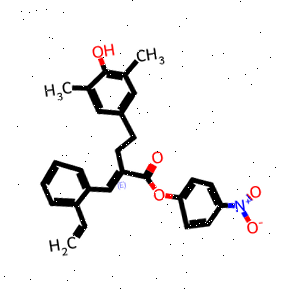 C=Cc1ccccc1/C=C(\CCc1cc(C)c(O)c(C)c1)C(=O)Oc1ccc([N+](=O)[O-])cc1